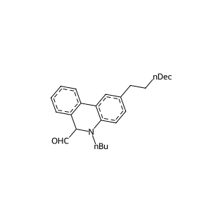 CCCCCCCCCCCCc1ccc2c(c1)-c1ccccc1C(C=O)N2CCCC